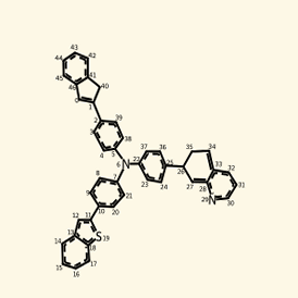 C1=C(c2ccc(N(c3ccc(-c4cc5ccccc5s4)cc3)c3ccc(C4C=c5ncccc5=CC4)cc3)cc2)Cc2ccccc21